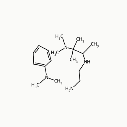 CC(NCCN)C(C)(C)N(C)C.CN(C)c1ccccc1